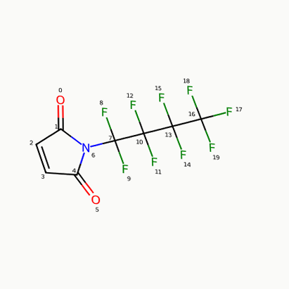 O=C1C=CC(=O)N1C(F)(F)C(F)(F)C(F)(F)C(F)(F)F